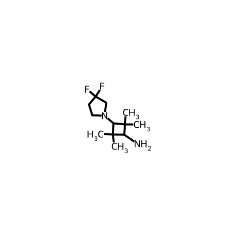 CC1(C)C(N)C(C)(C)C1N1CCC(F)(F)C1